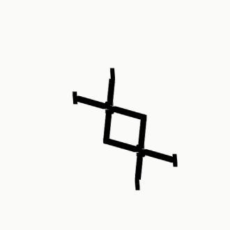 IS1(I)CS(I)(I)C1